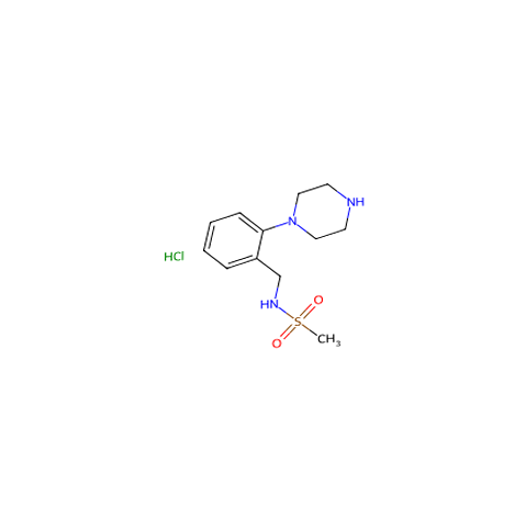 CS(=O)(=O)NCc1ccccc1N1CCNCC1.Cl